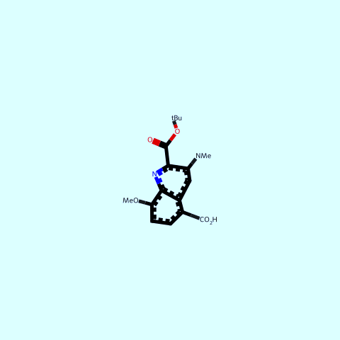 CNc1cc2c(C(=O)O)ccc(OC)c2nc1C(=O)OC(C)(C)C